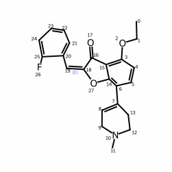 CCOc1ccc(C2=CCN(C)CC2)c2c1C(=O)/C(=C\c1ccccc1F)O2